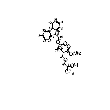 COC(=O)C(COCC(O)C(F)(F)F)NC(=O)OCC1c2ccccc2-c2ccccc21